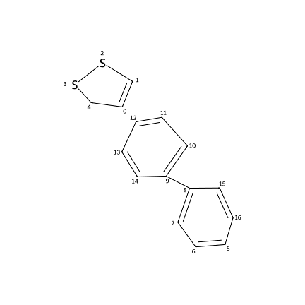 C1=CSSC1.c1ccc(-c2ccccc2)cc1